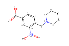 O=C(O)c1ccc(CN2CCCCC2)c([N+](=O)[O-])c1